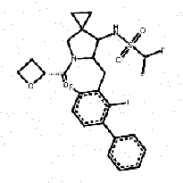 O=C([C@H]1CCO1)N1CC2(CC2)C(NS(=O)(=O)C(F)F)C1Cc1c(F)ccc(-c2ccccc2)c1F